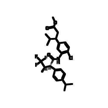 COC(=O)CC(c1ccc(Cl)c(NC(=O)[C@H](c2ccc(C(C)C)cc2)[C@@H](C)C(F)(F)F)c1)C(C)C